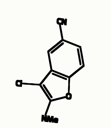 CNc1oc2ccc(C#N)cc2c1Cl